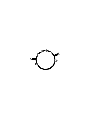 S=C1NCCCCNC(=S)SSSS1